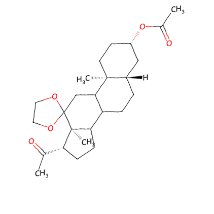 CC(=O)O[C@H]1CC[C@]2(C)C3CC4(OCCO4)[C@@]4(C)C(CC[C@@H]4C(C)=O)C3CC[C@H]2C1